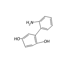 Nc1ccccc1-c1cc(O)ccc1O